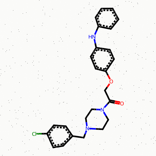 O=C(COc1ccc(Nc2ccccc2)cc1)N1CCN(Cc2ccc(Cl)cc2)CC1